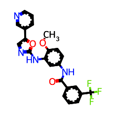 COc1ccc(NC(=O)c2cccc(C(F)(F)F)c2)cc1Nc1ncc(-c2cccnc2)o1